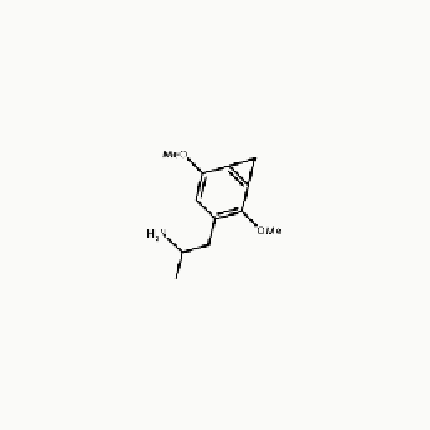 COc1cc(CC(C)N)c(OC)c2c1C2